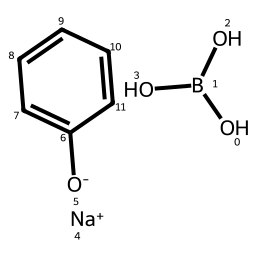 OB(O)O.[Na+].[O-]c1ccccc1